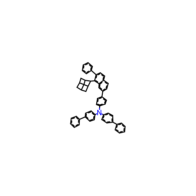 c1ccc(-c2ccc(N(c3ccc(-c4ccccc4)cc3)c3ccc(-c4ccc5ccc(-c6ccccc6)c(C6C7CC8CC9CC6C897)c5c4)cc3)cc2)cc1